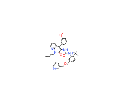 CCCCn1c(=O)c(NC(=O)Nc2cc(COCc3cccnc3)ccc2C(C)(C)C)c(-c2cccc(OC)c2)c2cccnc21